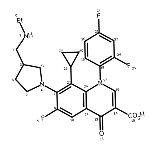 CCNCC1CCN(c2c(F)cc3c(=O)c(C(=O)O)cn(-c4ccc(F)cc4F)c3c2C2CC2)C1